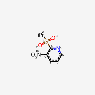 CC(C)S(=O)(=O)c1ncccc1[N+](=O)[O-]